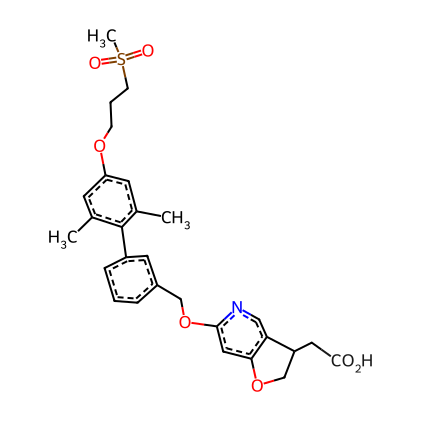 Cc1cc(OCCCS(C)(=O)=O)cc(C)c1-c1cccc(COc2cc3c(cn2)C(CC(=O)O)CO3)c1